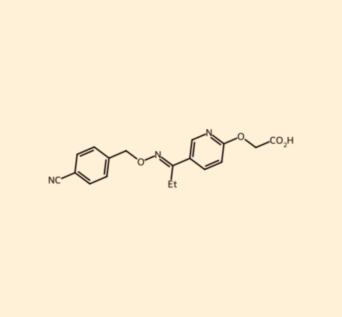 CC/C(=N\OCc1ccc(C#N)cc1)c1ccc(OCC(=O)O)nc1